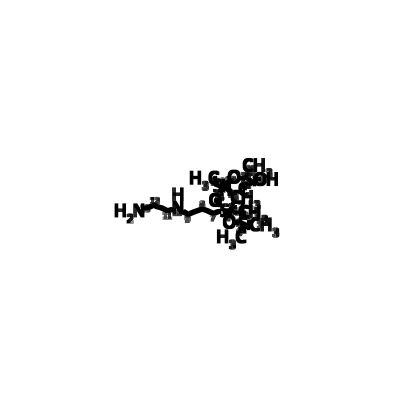 C[Si](C)(C)O[Si@](C)(CCCNCCN)O[Si](C)(C)O[Si](C)(C)O